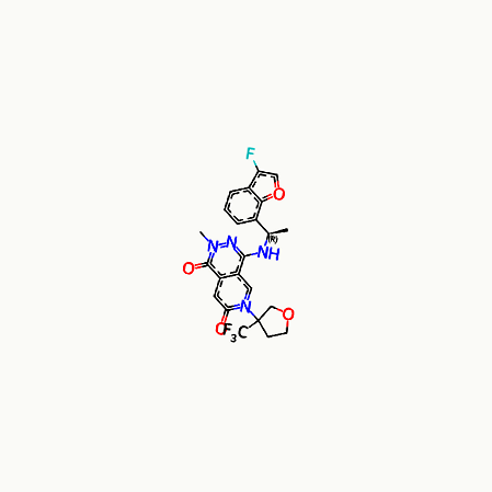 C[C@@H](Nc1nn(C)c(=O)c2cc(=O)n(C3(C(F)(F)F)CCOC3)cc12)c1cccc2c(F)coc12